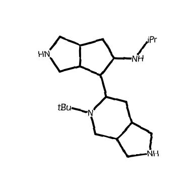 CC(C)NC1CC2CNCC2C1C1CC2CNCC2CN1C(C)(C)C